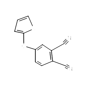 N#Cc1ccc(Oc2cccs2)cc1C#N